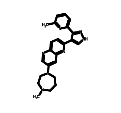 Cc1cccc(-c2n[nH]cc2-c2ccc3ncc(N4CCCN(C)CC4)cc3n2)n1